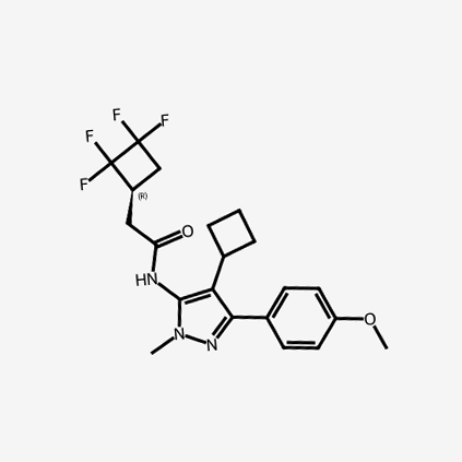 COc1ccc(-c2nn(C)c(NC(=O)C[C@@H]3CC(F)(F)C3(F)F)c2C2CCC2)cc1